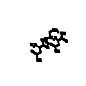 NCCN.N[C@@H](CC(=O)O)C(=O)O.N[C@@H](CC(=O)O)C(=O)O